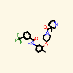 Cc1ccc(NC(=O)c2cccc(C(F)(F)F)c2)cc1OC1CCN(C(=O)C2(C)C=CC=NC2)CC1